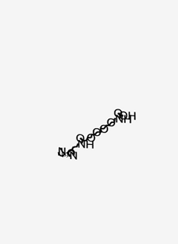 CN1CCC[C@H]1c1cncc(CCCNC(=O)CCOCCOCCOCCOCCNC(=O)O)c1